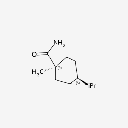 CC(C)[C@H]1[CH]C[C@@](C)(C(N)=O)CC1